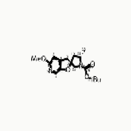 COc1cc2c(cn1)O[C@]1(C2)C[C@H](C)N(C(=O)OC(C)(C)C)C1